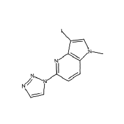 Cn1cc(I)c2nc(-n3ccnn3)ccc21